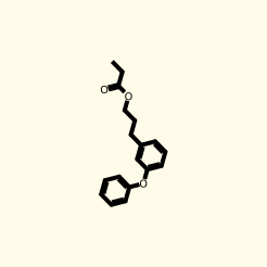 CCC(=O)OCCCc1cccc(Oc2ccccc2)c1